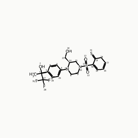 CC(O)(c1ccc(N2CCN(S(=O)(=O)C3=CC=CCC3=S)C[C@@H]2CO)cc1)C(F)(F)F